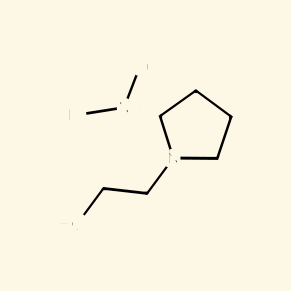 CCNCC.OCCN1CCCC1